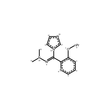 CCCOc1cccnc1C(=NN(C)C)n1ccnc1